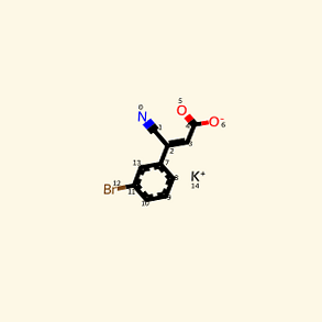 N#CC(=CC(=O)[O-])c1cccc(Br)c1.[K+]